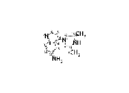 CC1CN(c2ccnc3ccc(N)cc23)CC(C)N1